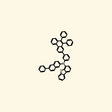 c1ccc(-c2ccc3cc(N(c4cccc(-c5ccc6c(c5)c(-c5ccccc5)c(-c5ccccc5)c5ccccc56)c4)c4cccc5c4sc4ccccc45)ccc3c2)cc1